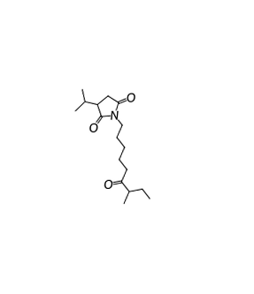 CCC(C)C(=O)CCCCCN1C(=O)CC(C(C)C)C1=O